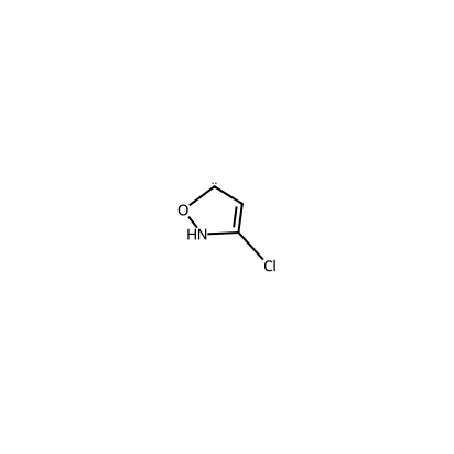 ClC1=C[C]ON1